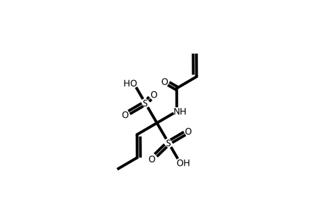 C=CC(=O)NC(C=CC)(S(=O)(=O)O)S(=O)(=O)O